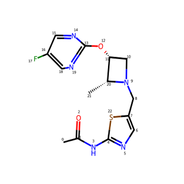 CC(=O)Nc1ncc(CN2C[C@@H](Oc3ncc(F)cn3)[C@H]2C)s1